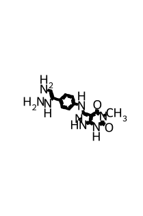 Cn1c(=O)[nH]c2[nH]nc(Nc3ccc(/C(=C/N)NN)cc3)c2c1=O